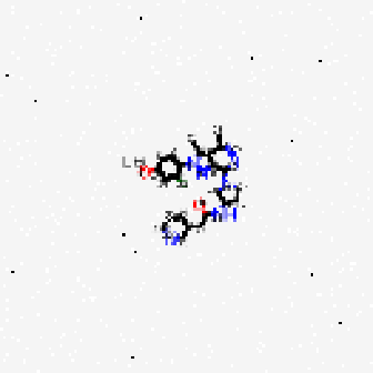 CCOc1ccc(-n2nc3c(N4CCC(NC(=O)Cc5cccnc5)C4)nnc(C)c3c2C)c(F)c1